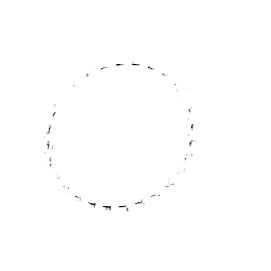 C1CCCCCCCCCCCCCSCCCCCCCCCCCCC1